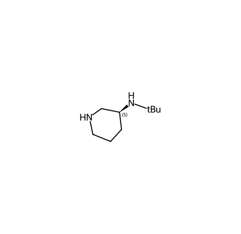 CC(C)(C)N[C@H]1CCCNC1